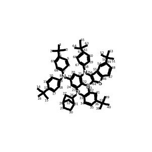 CC(C)(C)c1ccc(N(c2ccc(C(C)(C)C)cc2)c2cc3c4c(c2)N(C2CC5CCC2C5)c2ccc(C(C)(C)C)cc2B4c2sc4ccc(C(C)(C)C)cc4c2N3c2ccc(C(C)(C)C)cc2)cc1